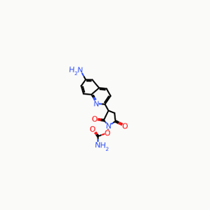 NC(=O)ON1C(=O)CC(c2ccc3cc(N)ccc3n2)C1=O